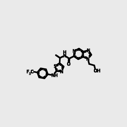 CC(NC(=O)c1cc2c(cn1)ncn2CCO)c1cnc(Nc2ccc(C(F)(F)F)cc2)s1